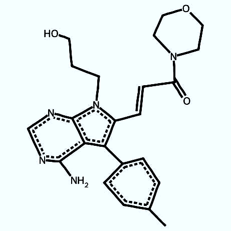 Cc1ccc(-c2c(/C=C/C(=O)N3CCOCC3)n(CCCO)c3ncnc(N)c23)cc1